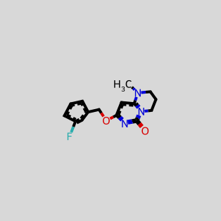 CN1CCCn2c1cc(OCc1cccc(F)c1)nc2=O